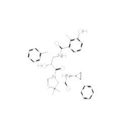 Cc1c(O)cccc1C(=O)N[C@@H](Cc1ccccc1)[C@H](O)C(=O)N1CSC(C)(C)[C@H]1C(=O)N[C@H]1C[C@@H]1c1ccccc1